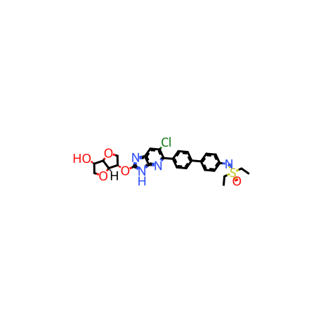 CCS(=O)(CC)=Nc1ccc(-c2ccc(-c3nc4[nH]c(O[C@@H]5COC6[C@H](O)CO[C@@H]65)nc4cc3Cl)cc2)cc1